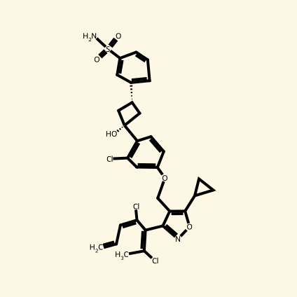 C=C/C=C(Cl)\C(=C(/C)Cl)c1noc(C2CC2)c1COc1ccc([C@]2(O)C[C@@H](c3cccc(S(N)(=O)=O)c3)C2)c(Cl)c1